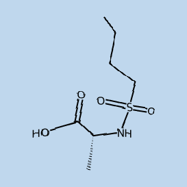 CCCCS(=O)(=O)N[C@H](C)C(=O)O